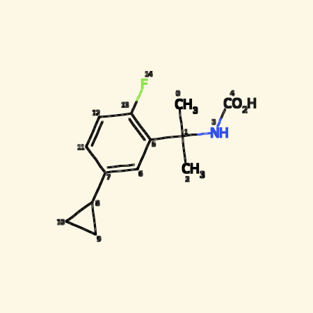 CC(C)(NC(=O)O)c1cc(C2CC2)ccc1F